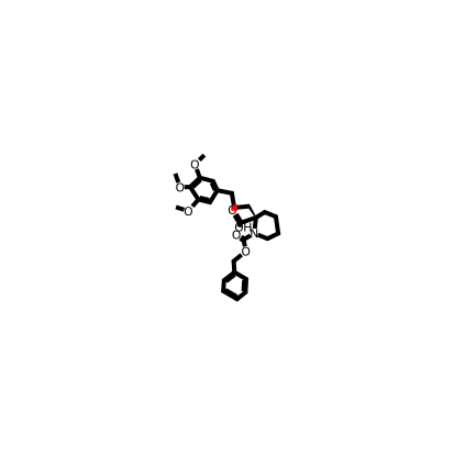 COc1cc(CCC[C@@]2(C(=O)O)CCCCN2C(=O)OCc2ccccc2)cc(OC)c1OC